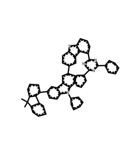 CC1(C)c2ccccc2-c2c(-c3ccc4c(c3)c3cc(-c5ccc6sc7cccc(-c8nc(-c9ccccc9)nc(-c9ccccc9)n8)c7c6c5)ccc3n4-c3ccccc3)cccc21